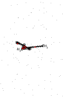 CCCCCCCCCCCCCCCc1cc(OCC(COC(=O)NCCCCCn2ccnc2)Oc2cc(C)on2)no1